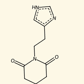 O=C1CCCC(=O)N1CCc1c[nH]cn1